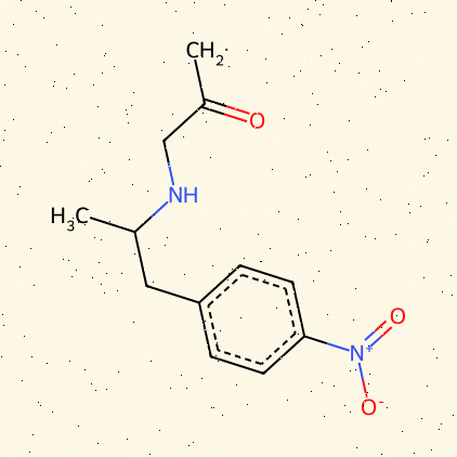 [CH2]C(=O)CNC(C)Cc1ccc([N+](=O)[O-])cc1